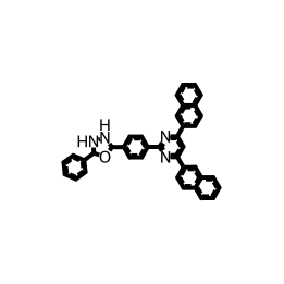 c1ccc(C2NNC(c3ccc(-c4nc(-c5ccc6ccccc6c5)cc(-c5ccc6ccccc6c5)n4)cc3)O2)cc1